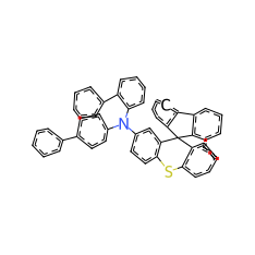 c1ccc(-c2ccc(N(c3ccc4c(c3)C3(c5ccccc5-c5ccccc53)c3c(ccc5ccccc35)S4)c3ccccc3-c3ccccc3)cc2)cc1